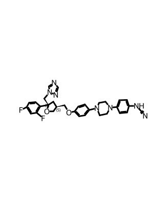 N#CNc1ccc(N2CCN(c3ccc(OC[C@H]4CO[C@](Cn5cncn5)(c5ccc(F)cc5F)C4)cc3)CC2)cc1